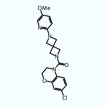 COc1ccc(N2CC3(CN(C(=O)N4CCOc5cc(Cl)ccc54)C3)C2)nc1